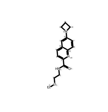 [CH2]COCCNC(=O)c1ccc2cc(N3CCC3)ccc2n1